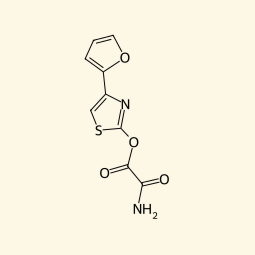 NC(=O)C(=O)Oc1nc(-c2ccco2)cs1